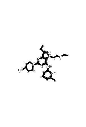 CCOCCn1nc(CC)c2nc(N3CCC(N)CC3)nc(Nc3cccc(C)n3)c21